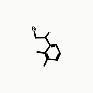 [CH2]C(CBr)c1cccc(C)c1C